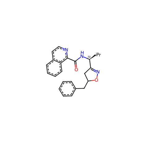 CC(C)[C@H](NC(=O)c1nccc2ccccc12)C1=NOC(Cc2ccccc2)C1